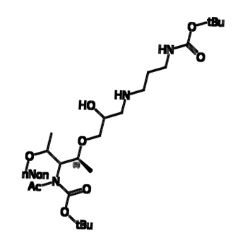 CCCCCCCCCOC(C)C([C@H](C)OCC(O)CNCCCNC(=O)OC(C)(C)C)N(C(C)=O)C(=O)OC(C)(C)C